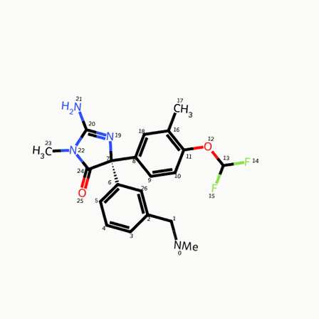 CNCc1cccc([C@@]2(c3ccc(OC(F)F)c(C)c3)N=C(N)N(C)C2=O)c1